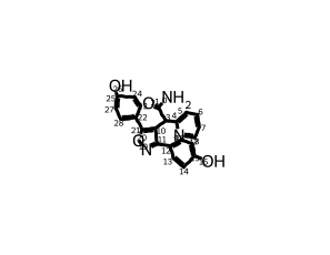 NC(=O)C(c1ccccn1)c1c(-c2ccc(O)cc2)noc1-c1ccc(O)cc1